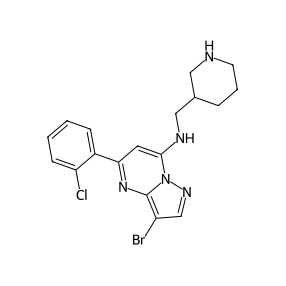 Clc1ccccc1-c1cc(NCC2CCCNC2)n2ncc(Br)c2n1